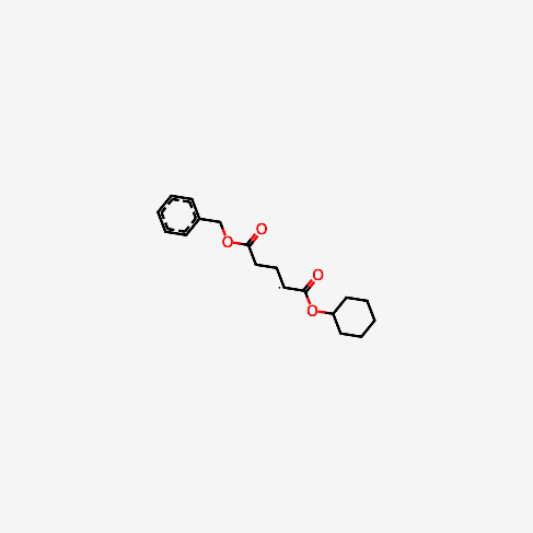 O=C([CH]CCC(=O)OCc1ccccc1)OC1CCCCC1